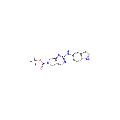 CC(C)(C)OC(=O)N1Cc2cnc(Nc3ccc4[nH]ccc4c3)nc2C1